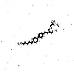 C=C(C)COCC(CO)CCc1ccc(C2CCC(CCCCCC)CC2)cc1